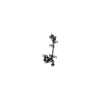 Cc1ncsc1-c1ccc([C@H](CC(=O)NCCCCCCCCCCNCCCONC(=O)c2ccc(F)c(F)c2Nc2ccc(I)cc2F)NC(=O)[C@@H]2C[C@@H](O)CN2C(=O)[C@@H](NC(=O)C2(C#N)CC2)C(C)(C)C)cc1